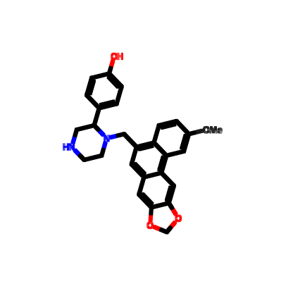 COc1ccc2c(CN3CCNCC3c3ccc(O)cc3)cc3cc4c(cc3c2c1)OCO4